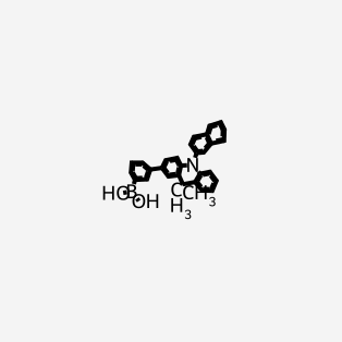 CC1(C)c2ccccc2N(c2ccc3ccccc3c2)c2ccc(-c3cccc(B(O)O)c3)cc21